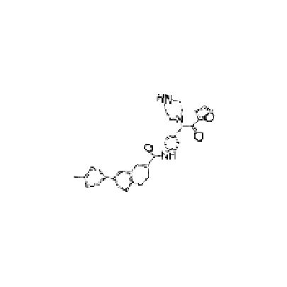 Cc1ccc(-c2ccc3c(c2)C=C(C(=O)Nc2ccc(C(C(=O)c4ccco4)N4CCNCC4)cc2)CC3)cc1